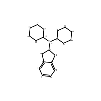 c1ccc2c(c1)CC(P(C1CCCCC1)C1CCCCC1)C2